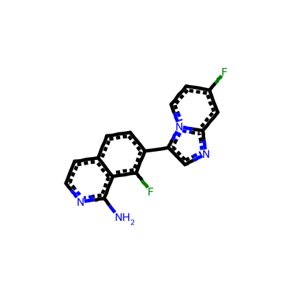 Nc1nccc2ccc(-c3cnc4cc(F)ccn34)c(F)c12